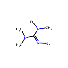 CCN=C(N(C)C)N(C)CC